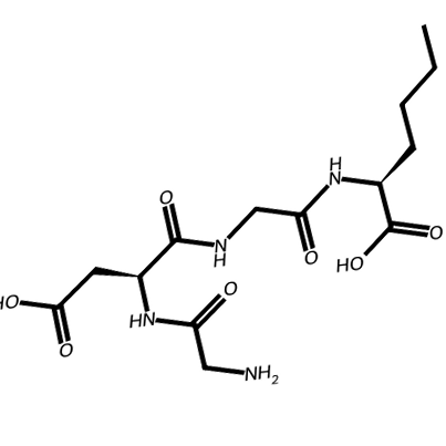 CCCC[C@H](NC(=O)CNC(=O)[C@H](CC(=O)O)NC(=O)CN)C(=O)O